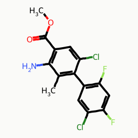 COC(=O)c1cc(Cl)c(-c2cc(Cl)c(F)cc2F)c(C)c1N